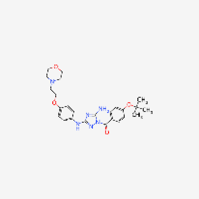 CC(C)(C)Oc1ccc(C(=O)n2nc(Nc3ccc(OCCN4CCOCC4)cc3)nc2N)cc1